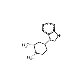 CC1CC(N2C[N]c3ccccc32)CCN1C